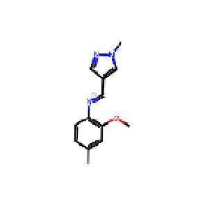 COc1cc(C)ccc1/N=C/c1cnn(C)c1